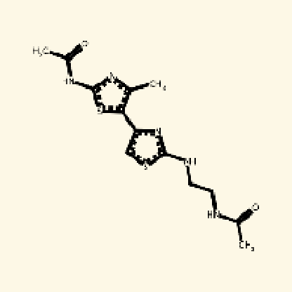 CC(=O)NCCNc1nc(-c2sc(NC(C)=O)nc2C)cs1